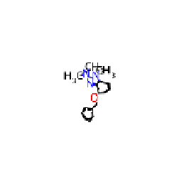 CN(C)c1nc2c(OCc3ccccc3)cccc2n1C